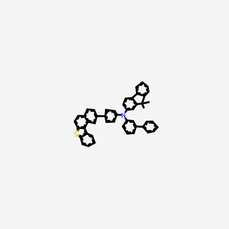 CC1(C)c2ccccc2-c2ccc(N(c3ccc(-c4ccc5ccc6sc7ccccc7c6c5c4)cc3)c3cccc(-c4ccccc4)c3)cc21